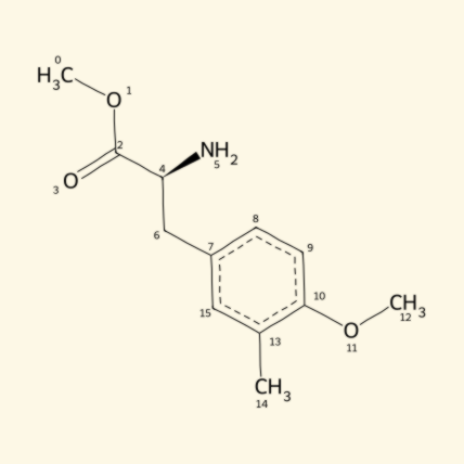 COC(=O)[C@@H](N)Cc1ccc(OC)c(C)c1